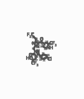 O=C(c1nc(Cn2nc(-c3ccc(Cl)cc3)n(C[C@H](O)C(F)(F)F)c2=O)nn1CCC(F)(F)F)N1CCNC(C(F)(F)F)C1